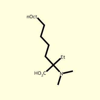 CCCCCCCCCCCCC(CC)(C(=O)O)N(C)C